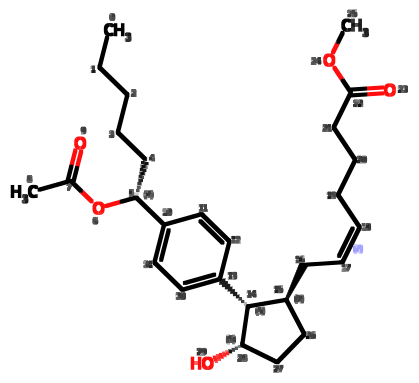 CCCCC[C@@H](OC(C)=O)c1ccc([C@@H]2[C@@H](C/C=C\CCCC(=O)OC)CC[C@@H]2O)cc1